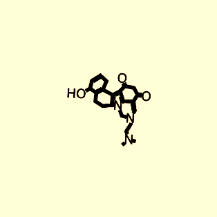 CN(C)CCN1C=C2C(=O)CC(=O)c3c4c(n(c32)C1)CCC1=C4CC=CC1O